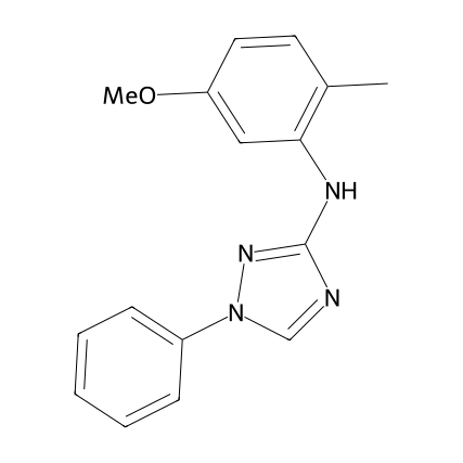 COc1ccc(C)c(Nc2ncn(-c3ccccc3)n2)c1